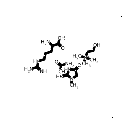 CC(N)=O.CN1CC(=O)NC1=N.C[N+](C)(C)CCO.N=C(N)NCCCC(N)C(=O)O